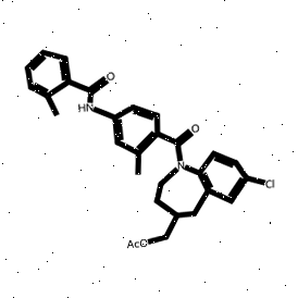 CC(=O)OCC1[C]c2cc(Cl)ccc2N(C(=O)c2ccc(NC(=O)c3ccccc3C)cc2C)CC1